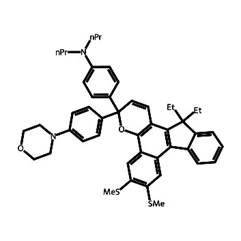 CCCN(CCC)c1ccc(C2(c3ccc(N4CCOCC4)cc3)C=Cc3c4c(c5cc(SC)c(SC)cc5c3O2)-c2ccccc2C4(CC)CC)cc1